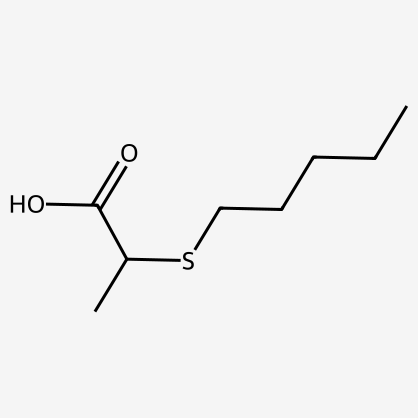 CCCCCSC(C)C(=O)O